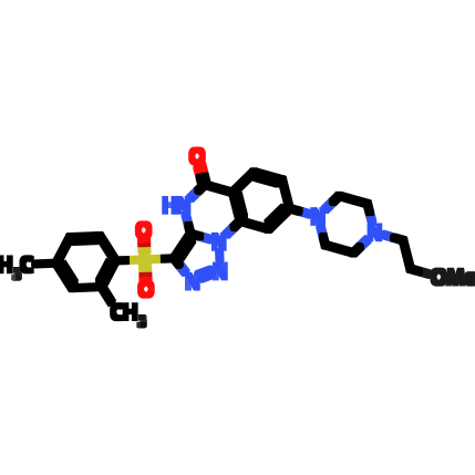 COCCN1CCN(c2ccc3c(=O)[nH]c4c(S(=O)(=O)c5ccc(C)cc5C)nnn4c3c2)CC1